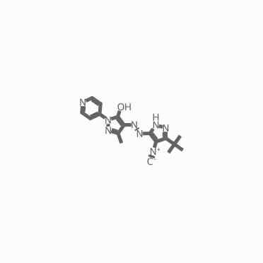 [C-]#[N+]c1c(C(C)(C)C)n[nH]c1/N=N/c1c(C)nn(-c2ccncc2)c1O